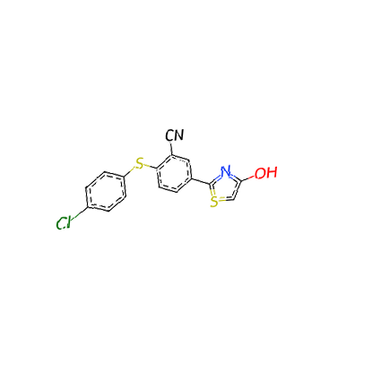 N#Cc1cc(-c2nc(O)cs2)ccc1Sc1ccc(Cl)cc1